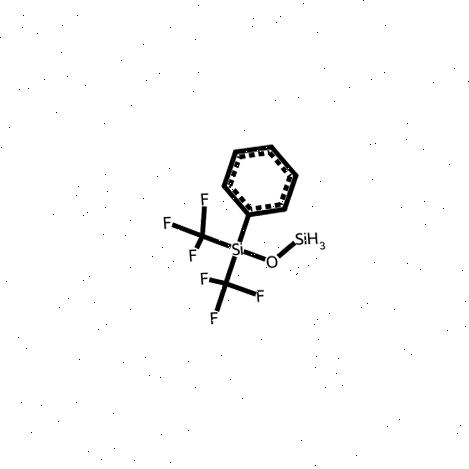 FC(F)(F)[Si](O[SiH3])(c1ccccc1)C(F)(F)F